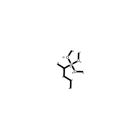 [CH2]C(CCC)[Si](OC)(OC)OC